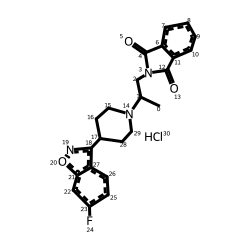 CC(CN1C(=O)c2ccccc2C1=O)N1CCC(c2noc3cc(F)ccc23)CC1.Cl